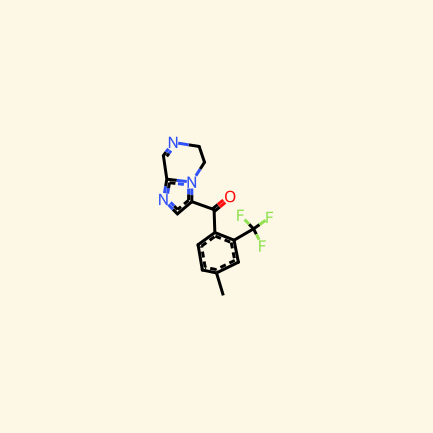 Cc1ccc(C(=O)c2cnc3n2CCN=C3)c(C(F)(F)F)c1